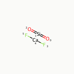 O=[Si]=O.[F][Ca][F]